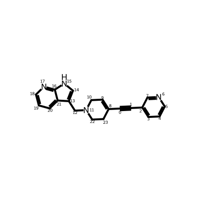 C(#Cc1cccnc1)C1=CCN(Cc2c[nH]c3ncccc23)CC1